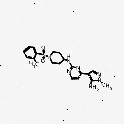 Cc1ccccc1S(=O)(=O)N1CCC(Nc2nccc(-c3cnn(C)c3N)n2)CC1